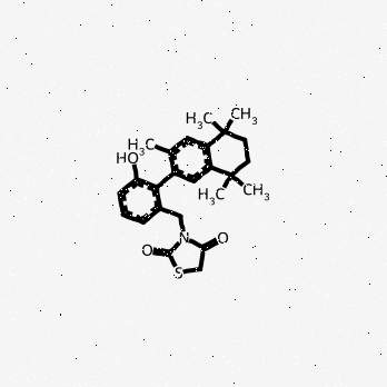 Cc1cc2c(cc1-c1c(O)cccc1CN1C(=O)CSC1=O)C(C)(C)CCC2(C)C